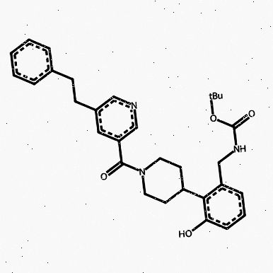 CC(C)(C)OC(=O)NCc1cccc(O)c1C1CCN(C(=O)c2cncc(CCc3ccccc3)c2)CC1